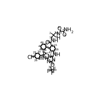 CC(C)(CNC(=O)C(N)=O)CNC(=O)c1ccc(Nc2nc(NC3(c4ccc(Cl)cc4)CC3)nc(OCC(F)(F)F)n2)cc1-c1ccccc1